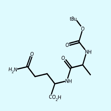 CC(NC(=O)OC(C)(C)C)C(=O)NC(CCC(N)=O)C(=O)O